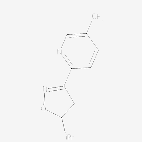 CC(C)C1CC(c2ccc(C(F)(F)F)cn2)=NO1